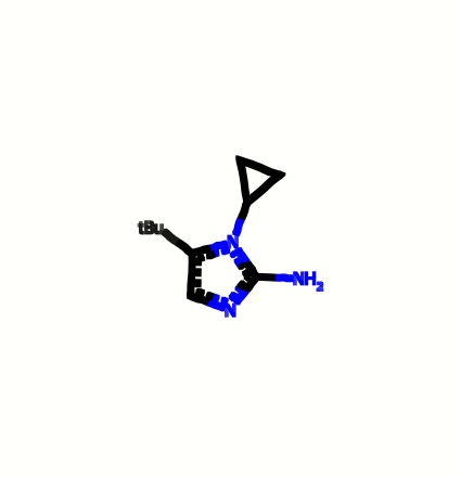 CC(C)(C)c1cnc(N)n1C1CC1